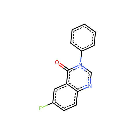 O=c1c2cc(F)ccc2ncn1-c1ccccc1